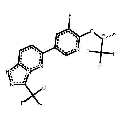 C[C@@H](Oc1ncc(-c2ccc3nnc(C(F)(F)Cl)n3n2)cc1F)C(F)(F)F